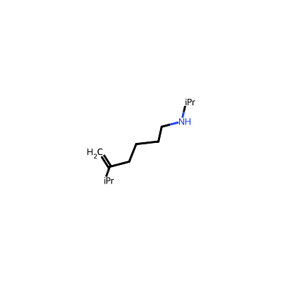 C=C(CCCCNC(C)C)C(C)C